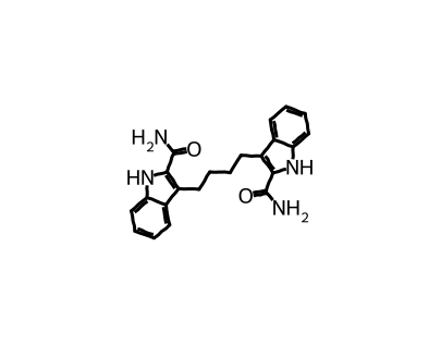 NC(=O)c1[nH]c2ccccc2c1CCCCc1c(C(N)=O)[nH]c2ccccc12